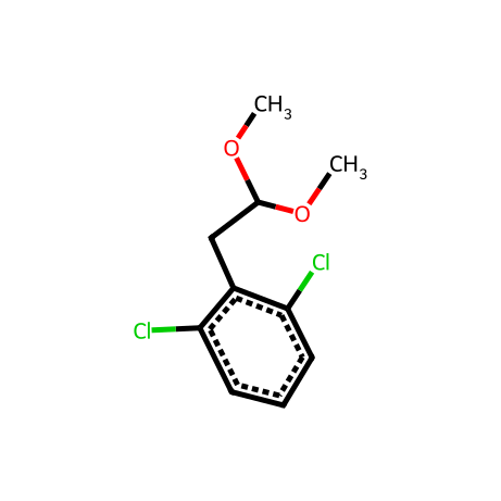 COC(Cc1c(Cl)cccc1Cl)OC